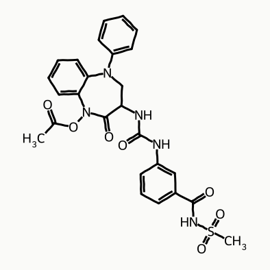 CC(=O)ON1C(=O)C(NC(=O)Nc2cccc(C(=O)NS(C)(=O)=O)c2)CN(c2ccccc2)c2ccccc21